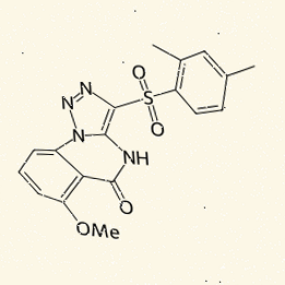 COc1cccc2c1c(=O)[nH]c1c(S(=O)(=O)c3ccc(C)cc3C)nnn12